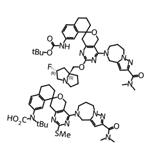 CN(C)C(=O)c1cc2n(n1)CCCN(c1nc(OC[C@@]34CCCN3C[C@H](F)C4)nc3c1COC1(CCCc4ccc(NC(=O)OC(C)(C)C)cc41)C3)C2.CSc1nc2c(c(N3CCCn4nc(C(=O)N(C)C)cc4C3)n1)COC1(CCCc3ccc(N(C(=O)O)C(C)(C)C)cc31)C2